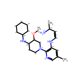 COC1CN(c2ncc(C)cc2N/C=C\C(C)N)CCC1NC1CCCCC1